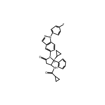 O=C(NC1CC(=O)N(c2ccc3c(cnn3-c3ccc(F)cc3)c2)[C@@]1(c1ccccc1)C1CC1)C1CC1